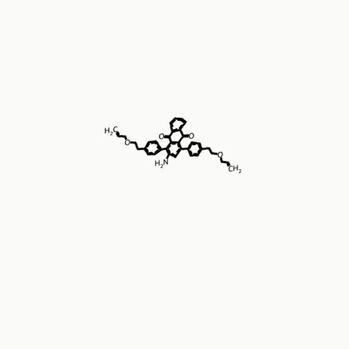 C=CCOCCc1ccc(-c2cc(N)c(-c3ccc(CCOCC=C)cc3)c3c2C(=O)c2ccccc2C3=O)cc1